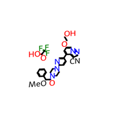 CO[C@H](C(=O)N1CCN(c2ccc(-c3cc(OCCO)cn4ncc(C#N)c34)cn2)CC1)c1ccccc1.O=C(O)C(F)(F)F